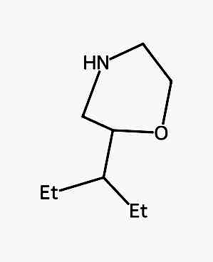 CCC(CC)C1CNCCO1